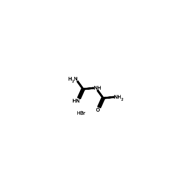 Br.N=C(N)NC(N)=O